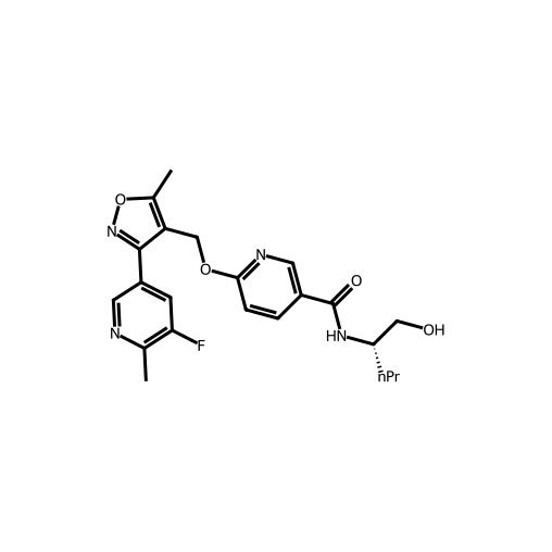 CCC[C@@H](CO)NC(=O)c1ccc(OCc2c(-c3cnc(C)c(F)c3)noc2C)nc1